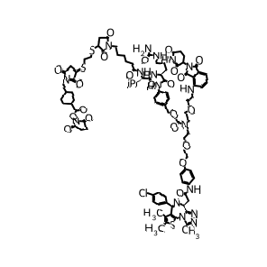 Cc1sc2c(c1C)C(c1ccc(Cl)cc1)=N[C@@H](CC(=O)Nc1ccc(OCCOCCN(CCOCCNc3cccc4c3C(=O)N(C3CCC(=O)NC3=O)C4=O)C(=O)OCc3ccc(NC(=O)[C@H](CCCNC(N)=O)NC(=O)[C@@H](NC(=O)CCCCCN4C(=O)CC(SCCSC5CC(=O)N(CC6CCC(C(=O)ON7C(=O)CCC7=O)CC6)C5=O)C4=O)C(C)C)cc3)cc1)c1nnc(C)n1-2